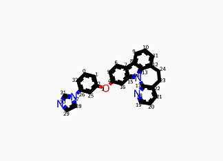 c1cc(Oc2ccc3c4cccc5c4n(c3c2)-c2ncccc2CC5)cc(-n2ccnc2)c1